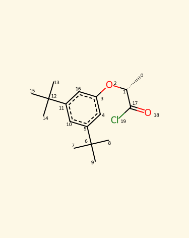 C[C@@H](Oc1cc(C(C)(C)C)cc(C(C)(C)C)c1)C(=O)Cl